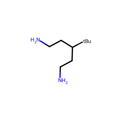 CC(C)(C)C(CCN)CCN